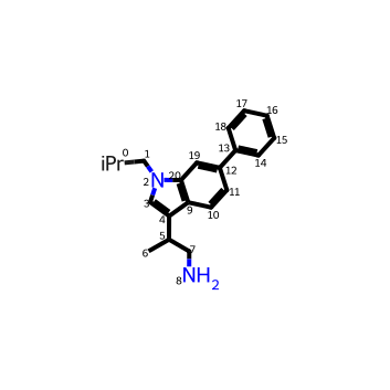 CC(C)Cn1cc(C(C)CN)c2ccc(-c3ccccc3)cc21